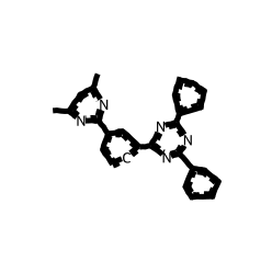 Cc1cc(C)nc(-c2cccc(-c3nc(-c4ccccc4)nc(-c4ccccc4)n3)c2)n1